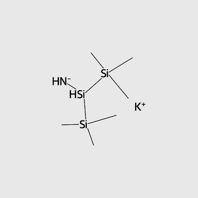 C[Si](C)(C)[SiH]([NH-])[Si](C)(C)C.[K+]